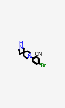 N#Cc1cc(Br)ccc1N1CCC2(CCNC2)CC1